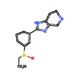 CCOC(=O)C[S+]([O-])c1cccc(-c2nc3cnccc3[nH]2)c1